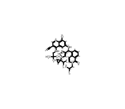 CC(C)(C)CNc1c(C#N)cnc2c(Cl)cc(N[C@H](c3cn(C4(C(F)F)CC4)nn3)c3cccc4c(=O)n(CC(F)F)ccc34)cc12